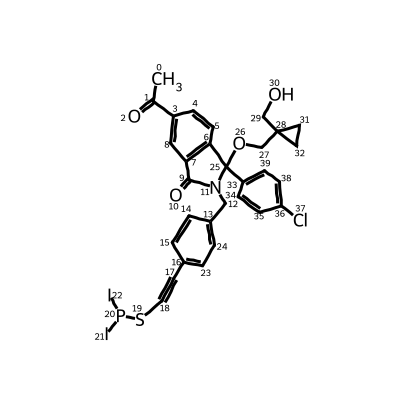 CC(=O)c1ccc2c(c1)C(=O)N(Cc1ccc(C#CSP(I)I)cc1)C2(OCC1(CO)CC1)c1ccc(Cl)cc1